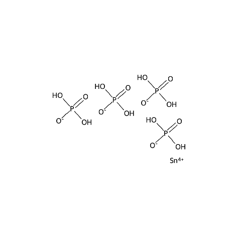 O=P([O-])(O)O.O=P([O-])(O)O.O=P([O-])(O)O.O=P([O-])(O)O.[Sn+4]